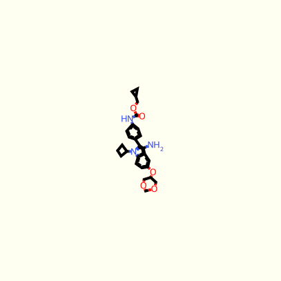 Nc1c(-c2ccc(NC(=O)OCC3CC3)cc2)n(C2CCC2)c2ccc(OC3COCOC3)cc12